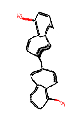 Oc1cccc2cc(-c3ccc4c(O)cccc4c3)ccc12